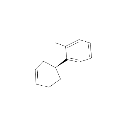 Cc1ccccc1[C@@H]1CC=CCC1